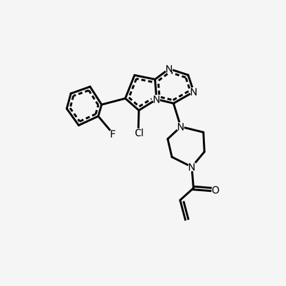 C=CC(=O)N1CCN(c2ncnc3cc(-c4ccccc4F)c(Cl)n23)CC1